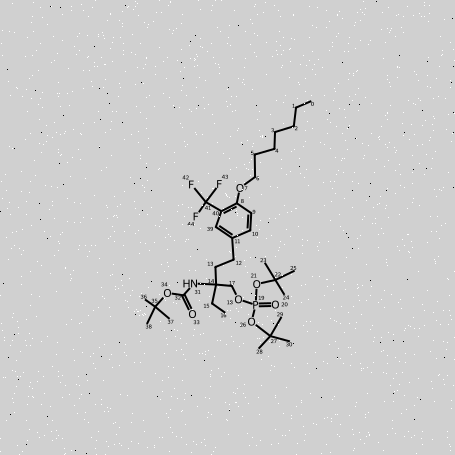 CCCCCCCOc1ccc(CCC(CC)(COP(=O)(OC(C)(C)C)OC(C)(C)C)NC(=O)OC(C)(C)C)cc1C(F)(F)F